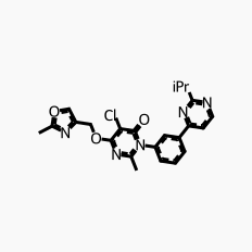 Cc1nc(COc2nc(C)n(-c3cccc(-c4ccnc(C(C)C)n4)c3)c(=O)c2Cl)co1